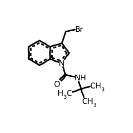 CC(C)(C)NC(=O)n1cc(CBr)c2ccccc21